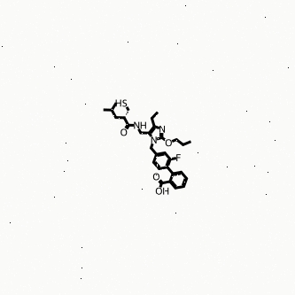 CCCOc1nc(CC)c(CNC(=O)[C@@H](CS)CC(C)C)n1Cc1ccc(-c2ccccc2C(=O)O)c(F)c1